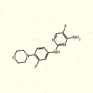 Nc1nc(Nc2ccc(N3CCOCC3)c(F)c2)ncc1F